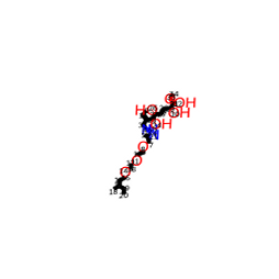 C/C=C(/Cn1cc(COCCOCCOCCC(C)CC)nn1)[C@@H](O)[C@H](O)C=C[C@@H](O)[C@H](O)OC